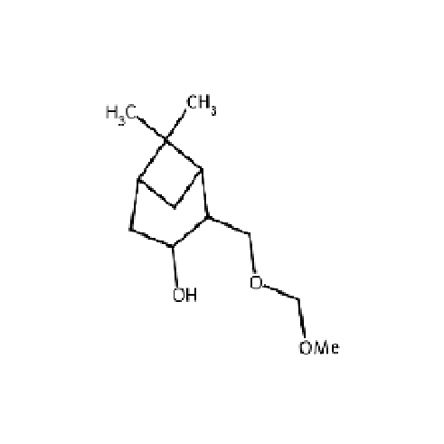 COCOCC1C(O)CC2CC1C2(C)C